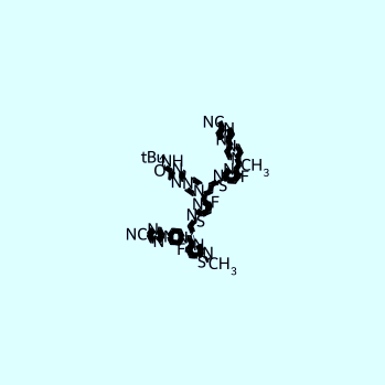 Cc1nc2nc([C@@H](CCc3nc4nc(C(CCc5nc6nc(C(C)N7CCN(c8cnc(C#N)cn8)CC7)c(F)cc6s5)N5CCN(c6cnc(C(=O)NC(C)(C)C)cn6)CC5)c(F)cc4s3)N3CCN(c4cnc(C#N)cn4)CC3)c(F)cc2s1